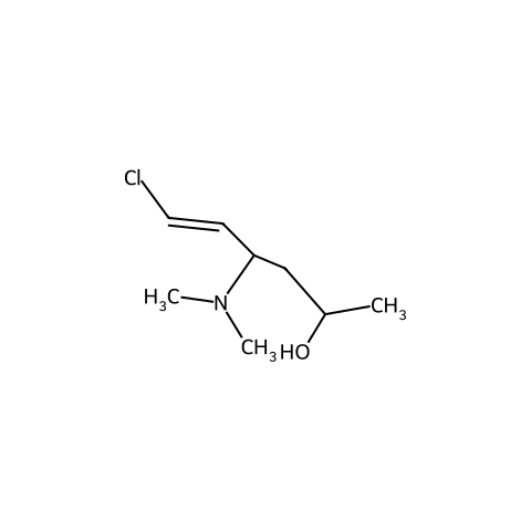 CC(O)CC(C=CCl)N(C)C